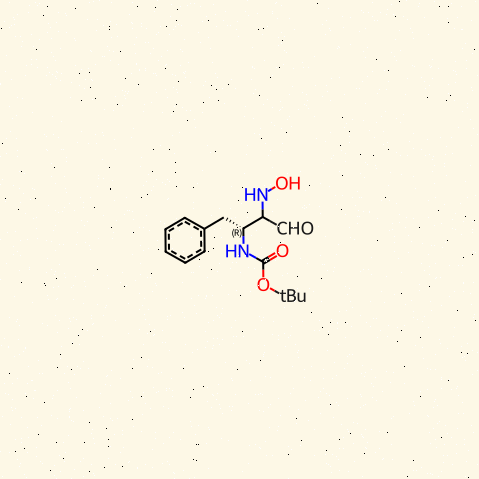 CC(C)(C)OC(=O)N[C@H](Cc1ccccc1)C(C=O)NO